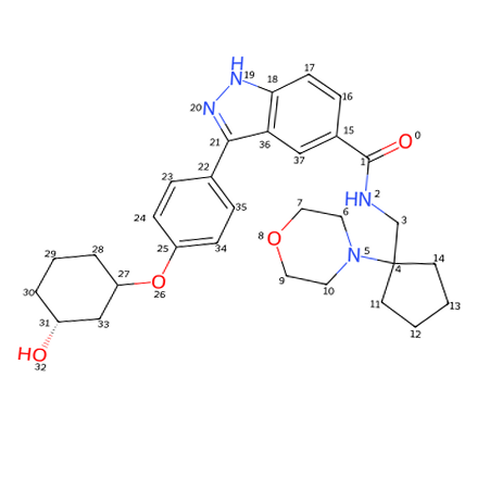 O=C(NCC1(N2CCOCC2)CCCC1)c1ccc2[nH]nc(-c3ccc(OC4CCC[C@@H](O)C4)cc3)c2c1